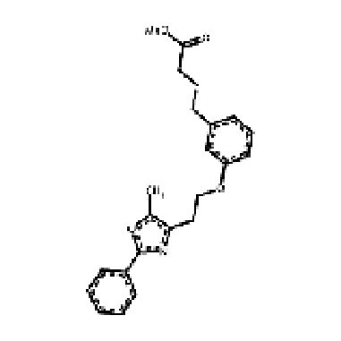 COC(=O)CSCc1cccc(OCCc2nc(-c3ccccc3)oc2C)c1